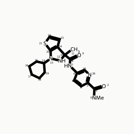 CNC(=O)c1ccc(NC(=O)C2(C)NN(C3CCCCC3)c3sccc32)cn1